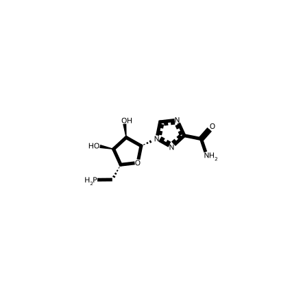 NC(=O)c1ncn([C@@H]2O[C@H](CP)[C@@H](O)[C@H]2O)n1